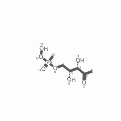 CC(=O)[C@@H](O)[C@H](O)COP(C)(=O)OO